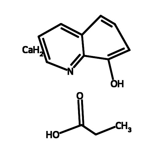 CCC(=O)O.Oc1cccc2cccnc12.[CaH2]